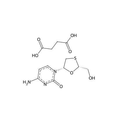 Nc1ccn([C@@H]2CS[C@H](CO)O2)c(=O)n1.O=C(O)CCC(=O)O